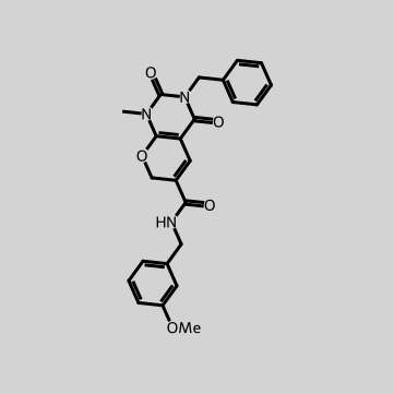 COc1cccc(CNC(=O)C2=Cc3c(n(C)c(=O)n(Cc4ccccc4)c3=O)OC2)c1